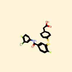 O=C(O)CC1CCC(Sc2cc(C(=O)Nc3ccc(F)c(Cl)c3)ccc2F)CC1